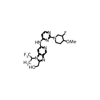 COC1CCN(c2nccc(Nc3cc4c(cn3)nc(CO)n4C(C)C(F)(F)F)n2)CC1F